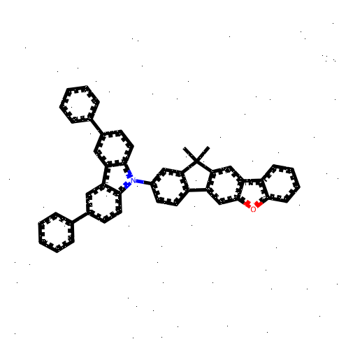 CC1(C)c2cc(-n3c4ccc(-c5ccccc5)cc4c4cc(-c5ccccc5)ccc43)ccc2-c2cc3oc4ccccc4c3cc21